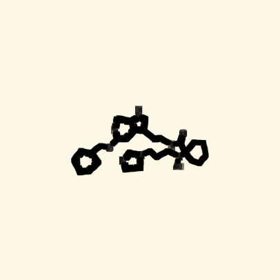 CC(=O)N(CCCn1ccnc1)C1(C(=O)NC=Cc2c[nH]c3cnc(OCc4ccccc4)cc23)CCCCC1